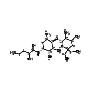 NCC[C@H](O)C(=O)N[C@@H]1CC(N)[C@@H](O[C@H]2OC(CO)(CO)CC(O)C2N)C(O)C1O